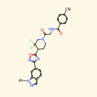 CC(C)n1ncc2ccc(-c3noc(C4CCN(C(=O)CNC(=O)c5ccc(C#N)cc5)CC4(F)F)n3)cc21